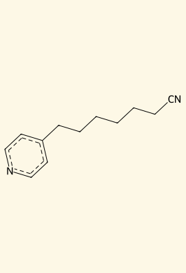 N#CCCCCCCc1ccncc1